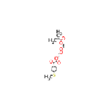 C=C(C)C(=O)O/C=C\OOCCOC(=O)C(=O)c1ccc(SC)cc1